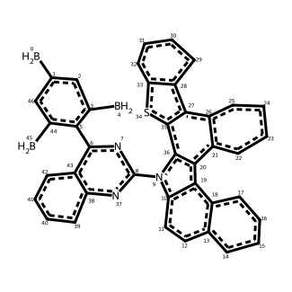 Bc1cc(B)c(-c2nc(-n3c4ccc5ccccc5c4c4c5ccccc5c5c6ccccc6sc5c43)nc3ccccc23)c(B)c1